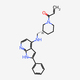 C=CC(=O)N1CCC[C@H](CNc2ccnc3[nH]c(-c4ccccc4)cc23)C1